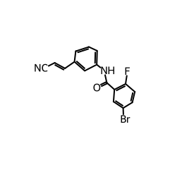 N#CC=Cc1cccc(NC(=O)c2cc(Br)ccc2F)c1